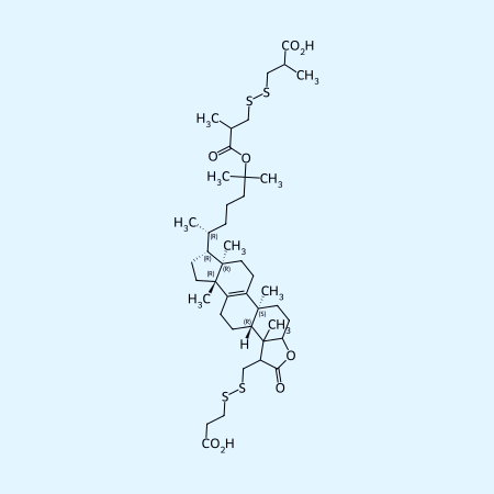 CC(CSSCC(C)C(=O)OC(C)(C)CCC[C@@H](C)[C@H]1CC[C@@]2(C)C3=C(CC[C@]12C)[C@@]1(C)CCC2OC(=O)C(CSSCCC(=O)O)C2(C)[C@@H]1CC3)C(=O)O